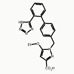 CCOc1cc(C(=O)O)nn1Cc1ccc(-c2ccccc2-c2nnn[nH]2)cc1